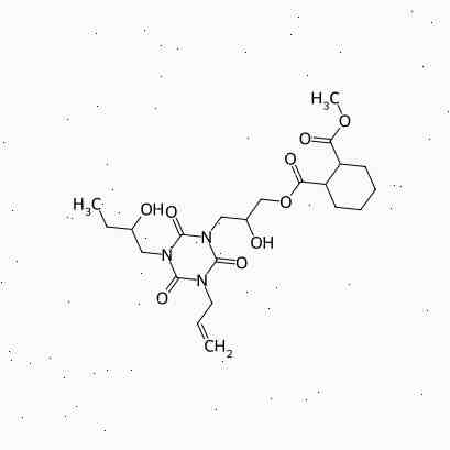 C=CCn1c(=O)n(CC(O)CC)c(=O)n(CC(O)COC(=O)C2CCCCC2C(=O)OC)c1=O